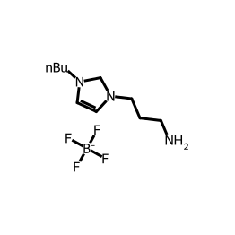 CCCCN1C=CN(CCCN)C1.F[B-](F)(F)F